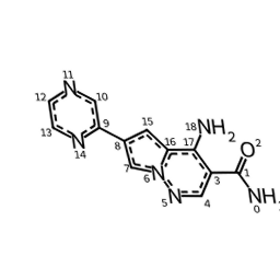 NC(=O)c1cnn2cc(-c3cnccn3)cc2c1N